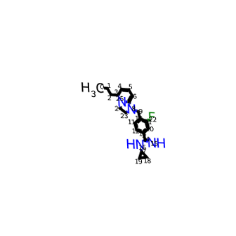 CCCC1C=CC=C2N(Cc3ccc(C(=N)NC4CC4)cc3F)CCN21